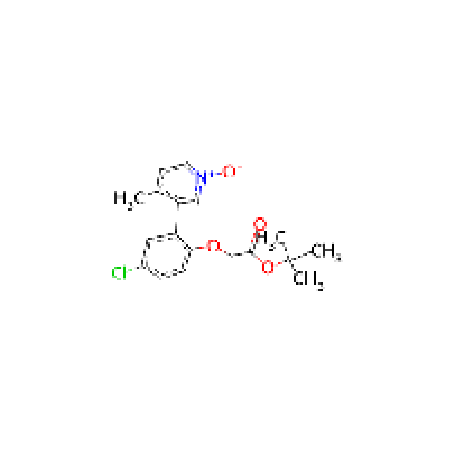 Cc1cc[n+]([O-])cc1-c1cc(Cl)ccc1OCC(=O)OC(C)(C)C